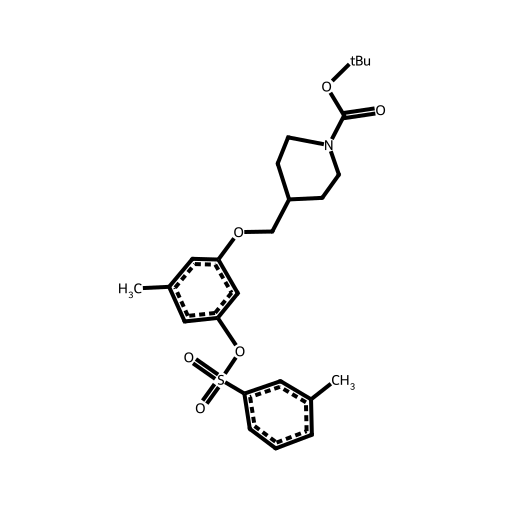 Cc1cc(OCC2CCN(C(=O)OC(C)(C)C)CC2)cc(OS(=O)(=O)c2cccc(C)c2)c1